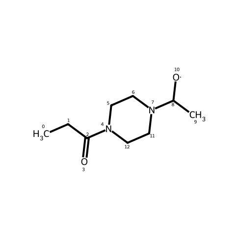 CCC(=O)N1CCN(C(C)[O])CC1